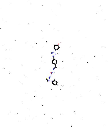 COc1ccc(-n2c(C)cs/c2=N\C(=O)N/C=C(\C#N)c2ccc(-c3ncn(-c4ccc(OC(F)(F)F)cc4)n3)cc2)c(C(C)C)c1